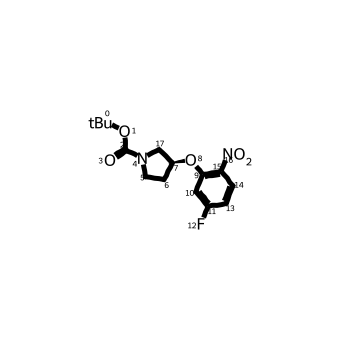 CC(C)(C)OC(=O)N1CC[C@H](Oc2cc(F)ccc2[N+](=O)[O-])C1